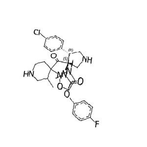 CC1CNCCC1(C(=O)[C@@]1(N(C)C(=O)Oc2ccc(F)cc2)CNC[C@H]1c1ccc(Cl)cc1)N1NC=CO1